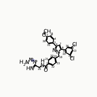 COc1ccc(-c2cc(-c3cc(Cl)cc(Cl)c3)n(Cc3ccc(C(=O)NCC(=N)/N=N\N)cc3)n2)cc1